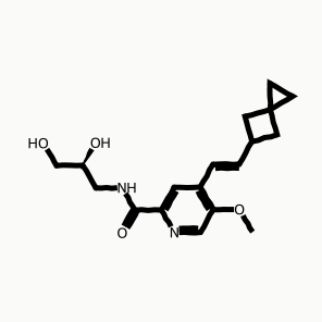 COc1cnc(C(=O)NC[C@H](O)CO)cc1/C=C/C1CC2(CC2)C1